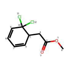 COC(=O)CC1C=CC=CC1(Cl)Cl